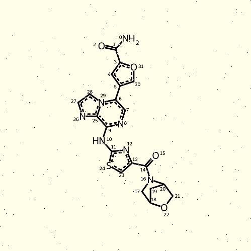 NC(=O)c1cc(-c2cnc(Nc3nc(C(=O)N4CC5CC4CO5)cs3)c3nccn23)co1